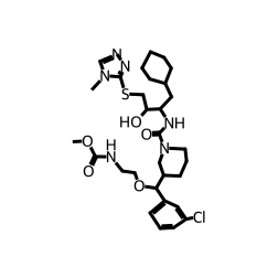 COC(=O)NCCOC(c1cccc(Cl)c1)C1CCCN(C(=O)NC(CC2CCCCC2)C(O)CSc2nncn2C)C1